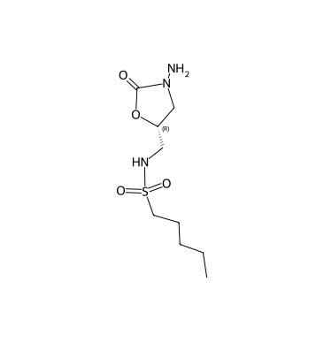 CCCCCS(=O)(=O)NC[C@H]1CN(N)C(=O)O1